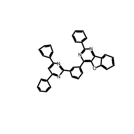 c1ccc(-c2cc(-c3ccccc3)nc(-c3cccc(-c4nc(-c5ccccc5)nc5c4oc4ccccc45)c3)n2)cc1